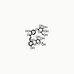 O=C(/C=C/c1ccc(O)c(O[C@H]2O[C@@H](CO)[C@H](O)[C@@H](O)[C@@H]2O)c1)c1ccc(O[C@@H]2O[C@H](CO)[C@@H](O)[C@H](O)[C@H]2O)cc1O